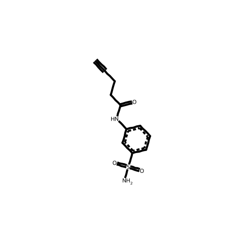 C#CCCC(=O)Nc1cccc(S(N)(=O)=O)c1